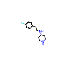 Fc1ccc(CCNC2CCNCC2)cc1